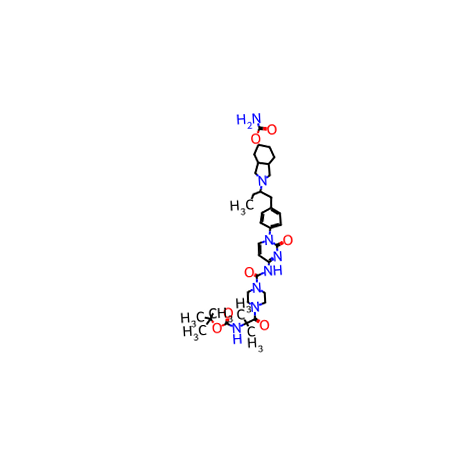 CCC(Cc1ccc(-n2ccc(NC(=O)N3CCN(C(=O)C(C)(C)NC(=O)OC(C)(C)C)CC3)nc2=O)cc1)N1CC2CCC(OC(N)=O)CC2C1